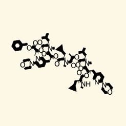 CN[C@@H](CC1CC1)C(=O)O[C@H](Cc1ccc(N2CCOCC2)nc1)C(=O)N(C)[C@@H](CC(C)C)C(=O)O[C@H](C)C(=O)N(C)[C@@H](CC1CC1)C(=O)O[C@H](Cc1ccc(N2CCOCC2)nc1)C(=O)N(C)[C@@H](CC(C)C)C(=O)O[C@H](C)C(=O)OCc1ccccc1